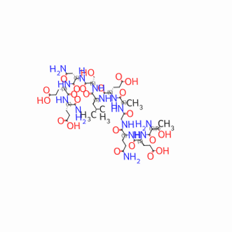 CC(C)C[C@H](NC(=O)[C@H](CCC(=O)O)NC(=O)[C@H](C)NC(=O)CNC(=O)[C@H](CCC(N)=O)NC(=O)[C@H](CCC(=O)O)NC(=O)[C@@H](N)[C@@H](C)O)C(=O)N[C@@H](CO)C(=O)N[C@@H](CC(N)=O)C(=O)N[C@@H](CCC(=O)O)C(=O)N[C@@H](CCC(=O)O)C(N)=O